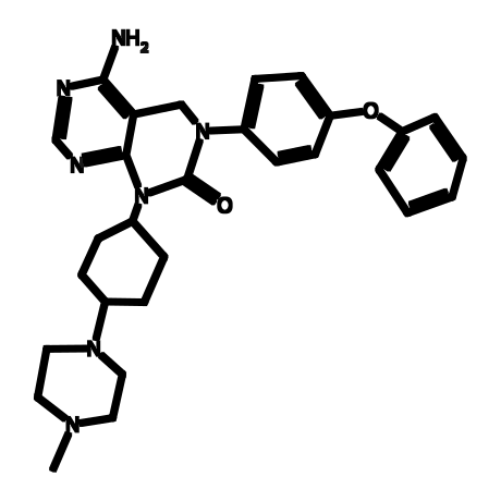 CN1CCN(C2CCC(N3C(=O)N(c4ccc(Oc5ccccc5)cc4)Cc4c(N)ncnc43)CC2)CC1